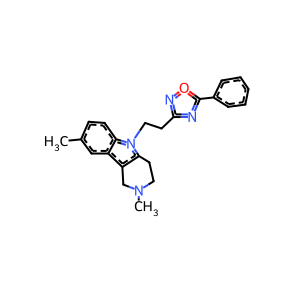 Cc1ccc2c(c1)c1c(n2CCc2noc(-c3ccccc3)n2)CCN(C)C1